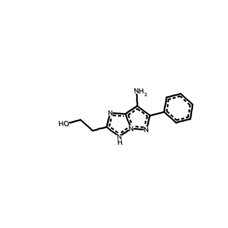 Nc1c(-c2ccccc2)nn2[nH]c(CCO)nc12